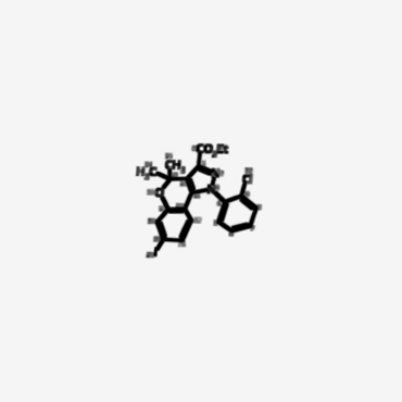 CCOC(=O)c1nn(-c2ccccc2Cl)c2c1C(C)(C)Oc1cc(I)ccc1-2